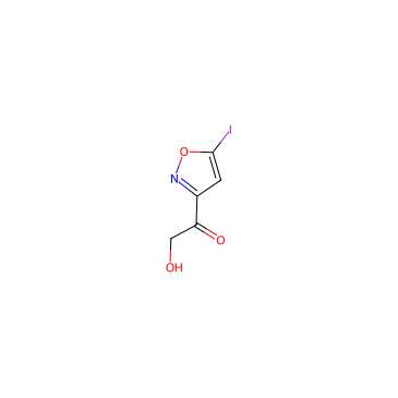 O=C(CO)c1cc(I)on1